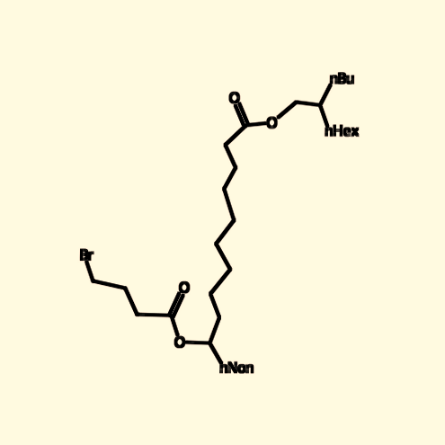 CCCCCCCCCC(CCCCCCCCC(=O)OCC(CCCC)CCCCCC)OC(=O)CCCBr